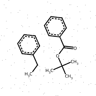 CC(C)(C)OC(=O)c1ccccc1.CCc1ccccc1